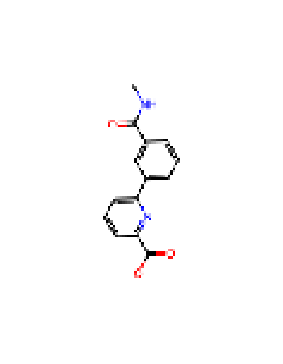 CNC(=O)c1cccc(-c2cccc(C(=O)O)n2)c1